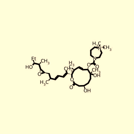 CC[C@H](O)[C@@H](C)[C@H]1O[C@@H]1C[C@H](C)/C=C/C=C(\C)[C@H]1OC(=O)C[C@H](O)CC[C@@](C)(O)[C@@H](OC(=O)N2CCC[N+](C)(C)CC2)/C=C/[C@@H]1C